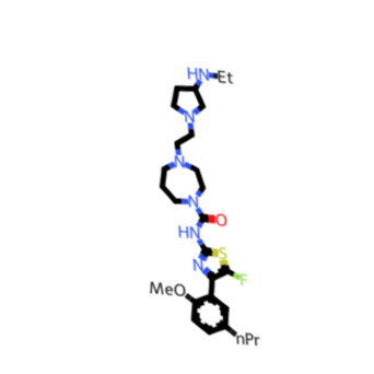 CCCc1ccc(OC)c(-c2nc(NC(=O)N3CCCN(CCN4CCC(NCC)C4)CC3)sc2F)c1